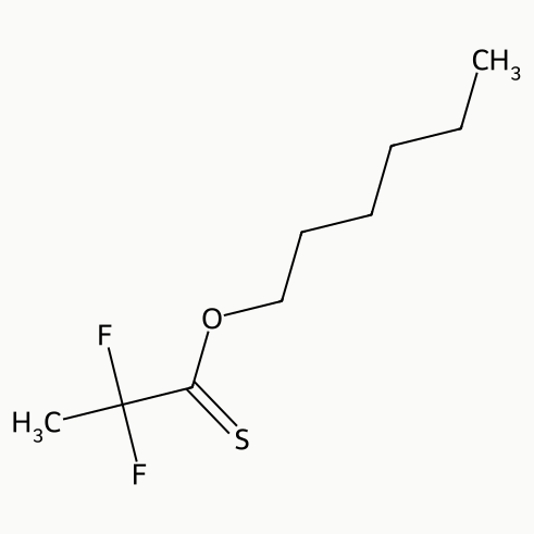 CCCCCCOC(=S)C(C)(F)F